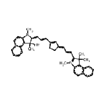 CCCC1(C)/C(=C\C=C\C2=CC(=C/C=C/C3=[N+](C)c4ccc5ccccc5c4C3(C)C)/CC2)N(C)c2ccc3ccccc3c21